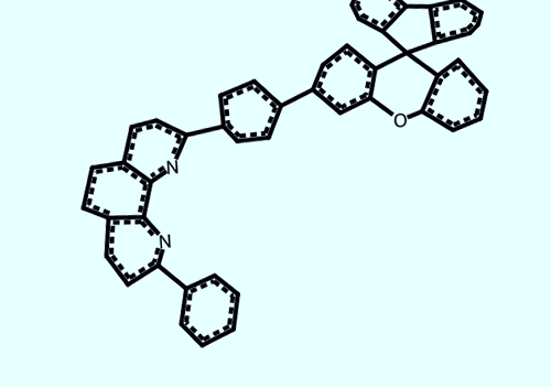 c1ccc(-c2ccc3ccc4ccc(-c5ccc(-c6ccc7c(c6)Oc6ccccc6C76c7ccccc7-c7ccccc76)cc5)nc4c3n2)cc1